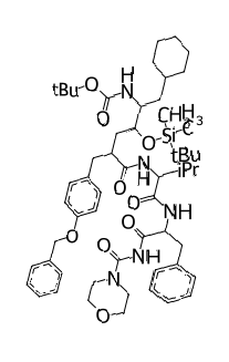 CC(C)C(NC(=O)C(Cc1ccc(OCc2ccccc2)cc1)CC(O[Si](C)(C)C(C)(C)C)C(CC1CCCCC1)NC(=O)OC(C)(C)C)C(=O)NC(Cc1ccccc1)C(=O)NC(=O)N1CCOCC1